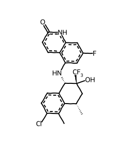 Cc1c(Cl)ccc2c1[C@@H](C)C[C@](O)(C(F)(F)F)[C@H]2Nc1cc(F)cc2[nH]c(=O)ccc12